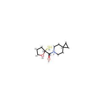 O=C(N1CCC2(CC1)CC2)[C@@]1(S)CCCO1